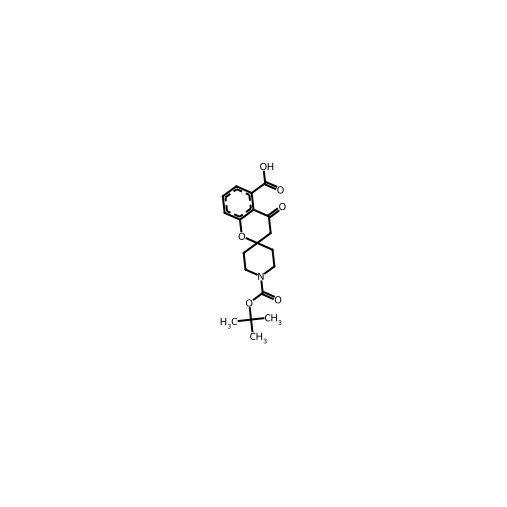 CC(C)(C)OC(=O)N1CCC2(CC1)CC(=O)c1c(cccc1C(=O)O)O2